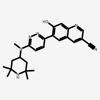 CN(c1ccc(-c2cc3cc(C#N)cnc3cc2O)nn1)C1CC(C)(C)NC(C)(C)C1